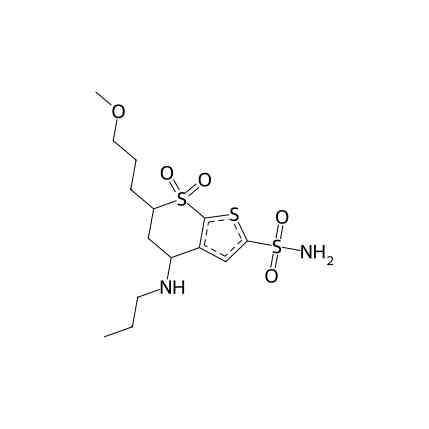 CCCNC1CC(CCCOC)S(=O)(=O)c2sc(S(N)(=O)=O)cc21